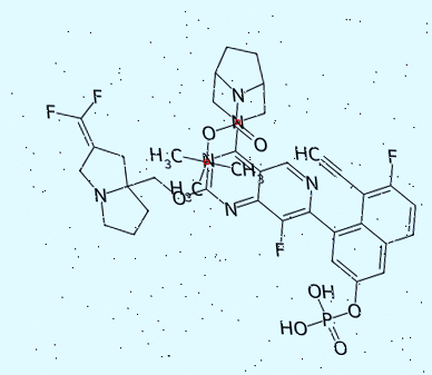 C#Cc1c(F)ccc2cc(OP(=O)(O)O)cc(-c3ncc4c(N5CC6CCC(C5)N6C(=O)OC(C)(C)C)nc(OCC56CCCN5CC(=C(F)F)C6)nc4c3F)c12